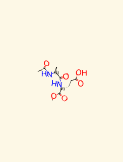 COC(=O)[C@@H](CCC(=O)O)NC(=O)[C@H](C)NC(C)=O